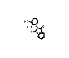 O=C1c2ccccc2C(=O)N1[C@@H]1CCCC(O)=C1O